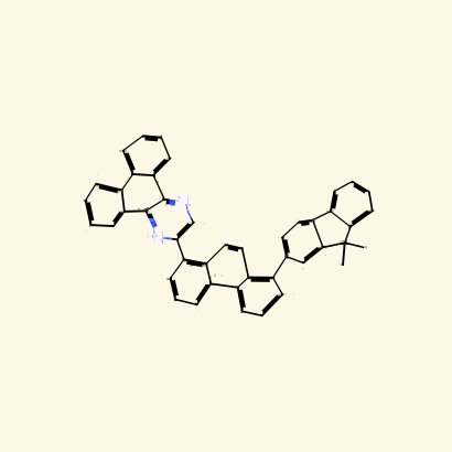 CC1(C)c2ccccc2-c2ccc(-c3cccc4c3ccc3c(-c5cnc6c7ccccc7c7ccccc7c6n5)cccc34)cc21